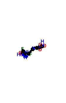 Cn1ncnc1[C@H]1c2n[nH]c(=O)c3cc(F)cc(c23)N[C@@H]1c1ccc(F)c(C#CC2CCN(Cc3ccc4c(c3)CN(C3CCC(=O)NC3=O)C4=O)CC2)c1